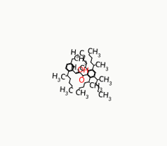 CCCCC(C)c1ccc(CC)cc1C=C(O)C(=O)c1c(C(C)CCCC)c(C(C)CCCC)cc(C(C)CCCC)c1C(C)CCCC